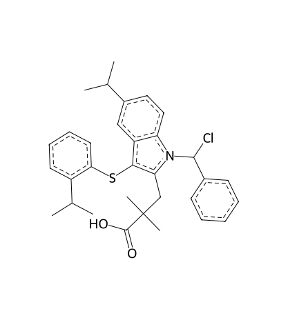 CC(C)c1ccc2c(c1)c(Sc1ccccc1C(C)C)c(CC(C)(C)C(=O)O)n2C(Cl)c1ccccc1